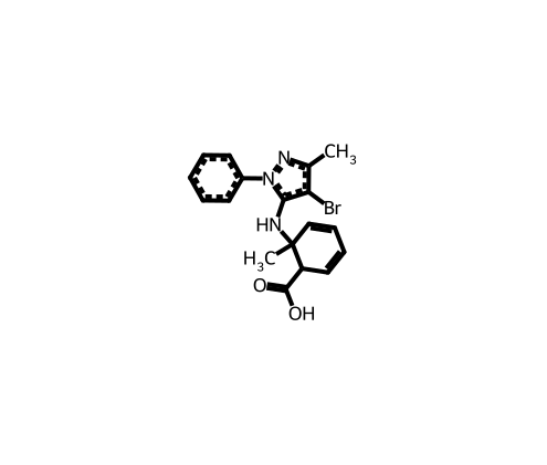 Cc1nn(-c2ccccc2)c(NC2(C)C=CC=CC2C(=O)O)c1Br